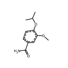 COc1cc(C(N)=O)ccc1OC(C)C